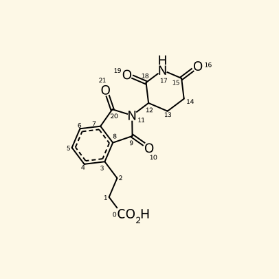 O=C(O)CCc1cccc2c1C(=O)N(C1CCC(=O)NC1=O)C2=O